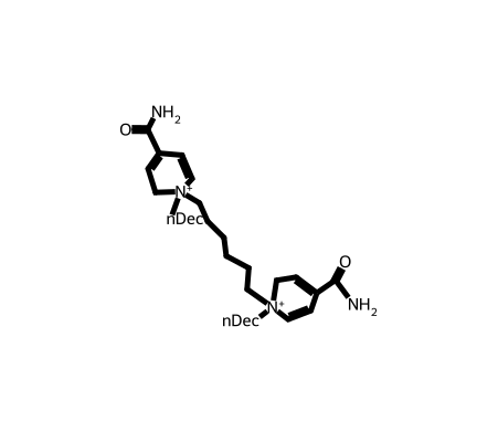 CCCCCCCCCC[N+]1(CCCCCC[N+]2(CCCCCCCCCC)C=CC(C(N)=O)=CC2)C=CC(C(N)=O)=CC1